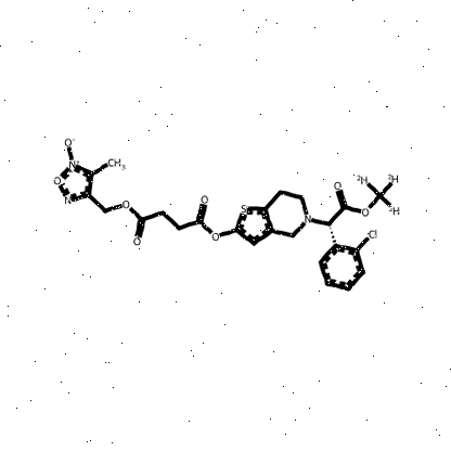 [2H]C([2H])([2H])OC(=O)[C@H](c1ccccc1Cl)N1CCc2sc(OC(=O)CCC(=O)OCc3no[n+]([O-])c3C)cc2C1